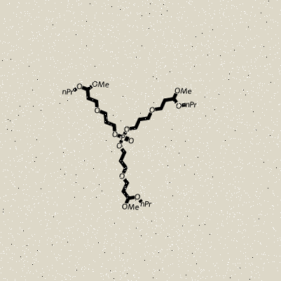 CCCOC(CCOCCCOP(=O)(OCCCOCCC(OC)OCCC)OCCCOCCC(OC)OCCC)OC